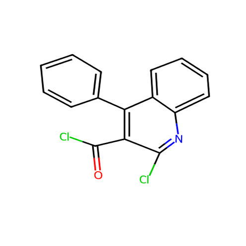 O=C(Cl)c1c(Cl)nc2ccccc2c1-c1ccccc1